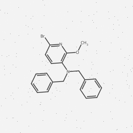 COc1nc(Br)ccc1N(Cc1ccccc1)Cc1ccccc1